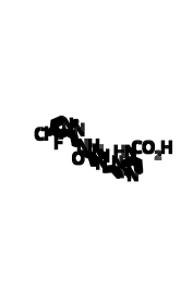 O=C(O)Nc1ccnn2cc(Cn3cc(C(=O)NCc4ncn5ccc(Cl)c(F)c45)nn3)nc12